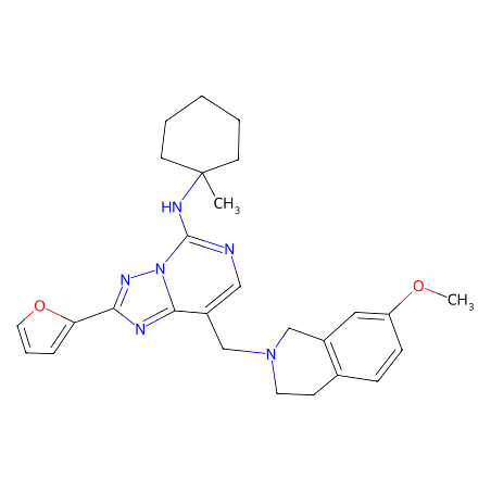 COc1ccc2c(c1)CN(Cc1cnc(NC3(C)CCCCC3)n3nc(-c4ccco4)nc13)CC2